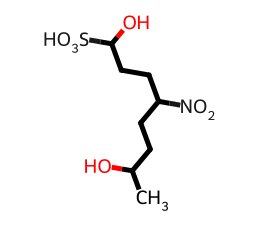 CC(O)CCC(CCC(O)S(=O)(=O)O)[N+](=O)[O-]